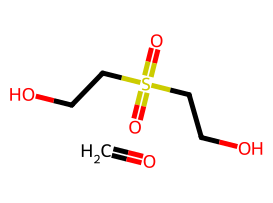 C=O.O=S(=O)(CCO)CCO